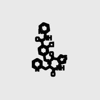 O=C(Nc1ccccn1)c1ccc(CN2C(=O)c3cscc3NC(=O)C2Cc2ccccn2)cc1Cl